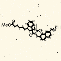 COC(=O)CCCCCCCC1(c2ccccc2)NC(=O)N(Cc2ccc3ccc(C=NN)cc3c2)C1=O